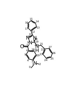 CN(C)c1ccc(C(=O)n2nc(-c3ccccc3)nc2NCc2ccccc2)cc1